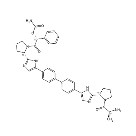 C[C@H](N)C(=O)N1CCC[C@H]1c1ncc(-c2ccc(-c3ccc(-c4cnc([C@@H]5CCCN5C(=O)[C@H](OC(N)=O)c5ccccc5)[nH]4)cc3)cc2)[nH]1